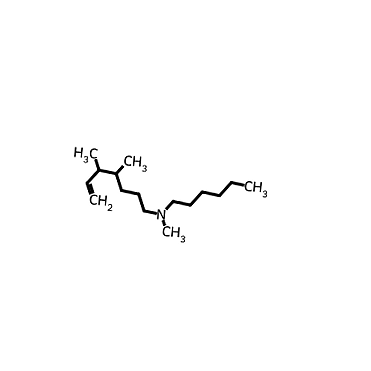 C=CC(C)C(C)CCCN(C)CCCCCC